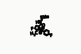 CSCNC(=O)[C@@H]1C[C@@H](F)[C@H](C)N1S(=O)(=O)c1ccc(F)cc1